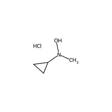 CN(O)C1CC1.Cl